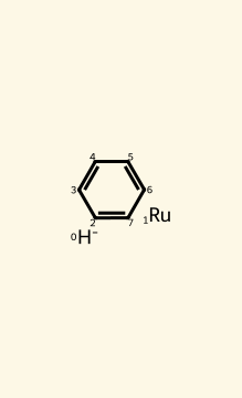 [H-].[Ru].c1ccccc1